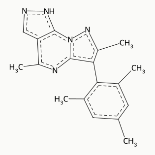 Cc1cc(C)c(-c2c(C)nn3c2nc(C)c2cn[nH]c23)c(C)c1